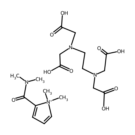 CN(C)C(=O)C1=CC=C[N+]1(C)C.O=C(O)CN(CCN(CC(=O)O)CC(=O)O)CC(=O)O